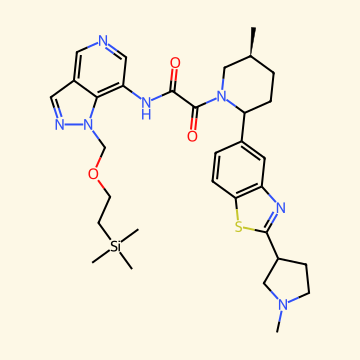 C[C@H]1CCC(c2ccc3sc(C4CCN(C)C4)nc3c2)N(C(=O)C(=O)Nc2cncc3cnn(COCC[Si](C)(C)C)c23)C1